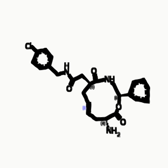 N[C@@H]1C/C=C/C[C@@H](CC(=O)NCc2ccc(Cl)cc2)C(=O)NC[C@@H](c2ccccc2)OC1=O